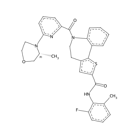 Cc1cccc(F)c1NC(=O)c1cc2c(s1)-c1ccccc1N(C(=O)c1cccc(N3CCOC[C@H]3C)n1)CC2